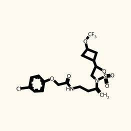 C=C(CCNC(=O)COc1ccc(Cl)cc1)N1CC(C2CC(OC(F)(F)F)C2)OS1(=O)=O